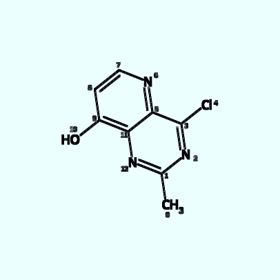 Cc1nc(Cl)c2nccc(O)c2n1